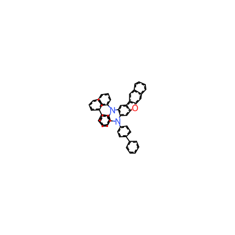 c1ccc(-c2ccc(N(c3ccccc3)c3cc4oc5cc6ccccc6cc5c4cc3N(c3ccccc3)c3ccccc3-c3ccccc3)cc2)cc1